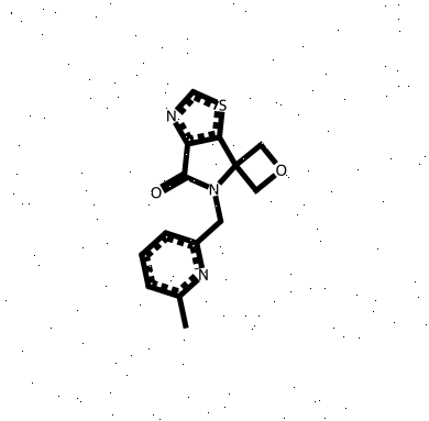 Cc1cccc(CN2C(=O)c3ncsc3C23COC3)n1